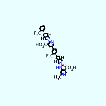 Cc1cc(NC(=O)N2C[C@H]3C[C@@H](c4ccc(-c5cnc(N6C[C@H]7C[C@@H](c8ccccc8C(F)(F)F)C[C@H]7C6)c(C(=O)O)c5)cc4C(F)(F)F)C[C@H]3C2)c(C(=O)O)cn1